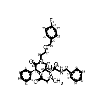 CN1CC(=O)N2[C@@H](c3ccccc3)C(=O)N(CCOCc3ccc(F)cc3)C[C@@H]2N1C(=O)NCc1ccccc1